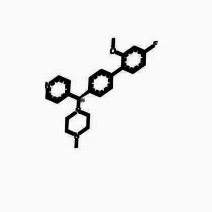 COc1cc(F)ccc1-c1ccc([C@H](c2ccncc2)N2CCN(C)CC2)cc1